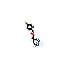 Fc1ccc(COCCC2CCNCC2)cc1